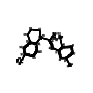 NC(=Nc1cc(Br)ccc1Br)N1CCCc2cc(C(F)(F)F)ccc21